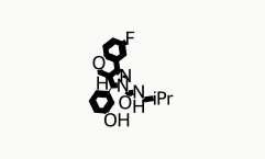 CC(C)CNC(=O)N1N=C2c3cc(F)ccc3OC[C@@H]2[C@H]1c1cccc(O)c1